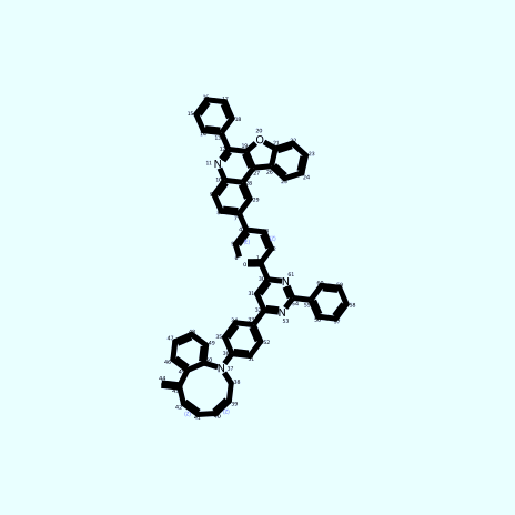 C=C(/C=C\C(=C/C)c1ccc2nc(-c3ccccc3)c3oc4ccccc4c3c2c1)c1cc(-c2ccc(N3C/C=C\C=C/C(=C)c4ccccc43)cc2)nc(-c2ccccc2)n1